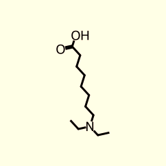 CCN(CC)CCCCCCCC(=O)O